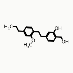 CCCc1ccc(CCc2ccc(CO)c(O)c2)c(OC)c1